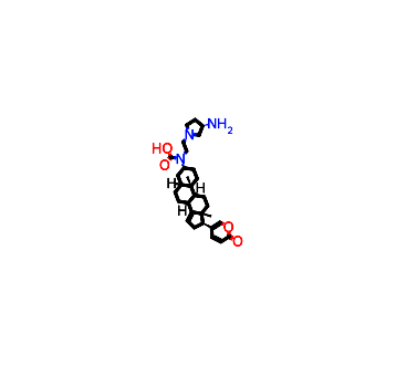 C[C@]12CC[C@H](N(CCN3CC[C@H](N)C3)C(=O)O)C[C@H]1CC[C@H]1C3=CC[C@H](c4ccc(=O)oc4)[C@@]3(C)CC[C@@H]12